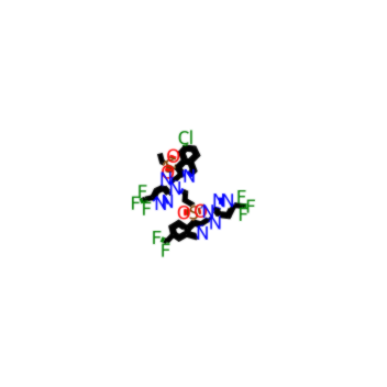 CCS(=O)(=O)c1c(-c2nc3cc(C(F)(F)F)nnc3n2CCCS(=O)(=O)c2c(-c3nc4cc(C(F)(F)F)nnc4n3C)ncc3cc(C(F)F)ccc23)ncc2ccc(Cl)cc12